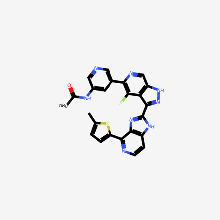 CCCCC(=O)Nc1cncc(-c2ncc3[nH]nc(-c4nc5c(-c6ccc(C)s6)nccc5[nH]4)c3c2F)c1